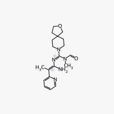 C/C(=C(N)\N=C(/N(C)C=O)N1CCC2(CCOC2)CC1)c1ccccn1